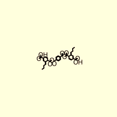 CCCC=C1C=C(C(=O)O)C=CC1C(=O)OC(=O)c1ccc(C(=O)OC(=O)C2C=CC(C(=O)O)=CC2=CCCC)cc1